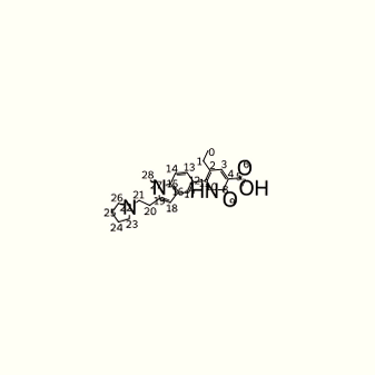 CCc1cc(C(=O)O)c(=O)[nH]c1-c1ccc2c(c1)cc(CCN1CCCC1)n2C